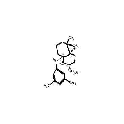 COc1cc(C)cc(C[C@H]2[C@@H](C(=O)O)CC[C@H]3C(C)(C)CCC[C@]23C)c1